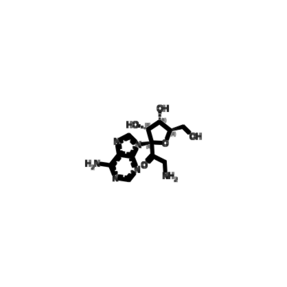 NCC(=O)[C@@]1(n2cnc3c(N)ncnc32)O[C@H](CO)[C@@H](O)[C@H]1O